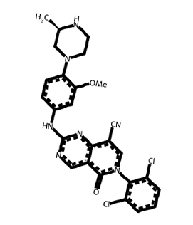 COc1cc(Nc2ncc3c(=O)n(-c4c(Cl)cccc4Cl)cc(C#N)c3n2)ccc1N1CCN[C@H](C)C1